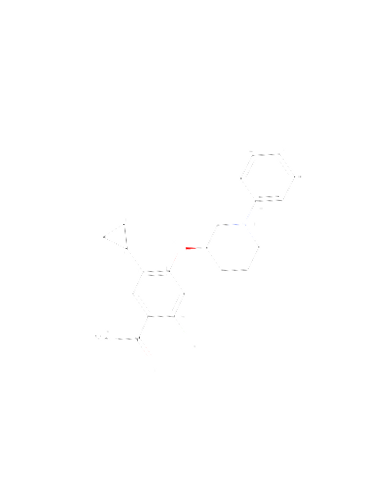 COC(=O)c1cc(C2CC2)c(O[C@@H]2CCCN(c3ccccc3)C2)cc1F